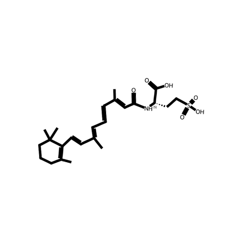 CC(C=CC1=C(C)CCCC1(C)C)=CC=CC(C)=CC(=O)N[C@@H](CCS(=O)(=O)O)C(=O)O